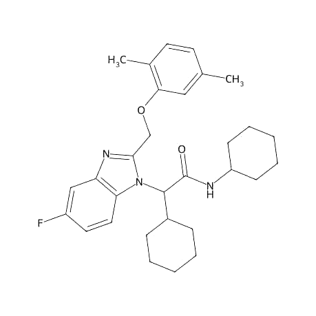 Cc1ccc(C)c(OCc2nc3cc(F)ccc3n2C(C(=O)NC2CCCCC2)C2CCCCC2)c1